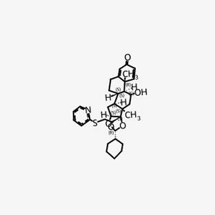 C[C@]12C=CC(=O)C=C1CC[C@@H]1[C@@H]2[C@@H](O)C[C@@]2(C)[C@H]1C[C@@H]1O[C@@H](C3CCCCC3)O[C@]12C(=O)CSc1ccccn1